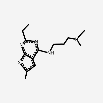 CCc1nc(NCCCN(C)C)c2cc(C)sc2n1